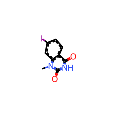 Cn1c(=O)[nH]c(=O)c2ccc(I)cc21